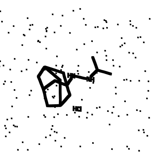 CC(C)NNC12CC3CC(CC(C3)C1)C2.Cl